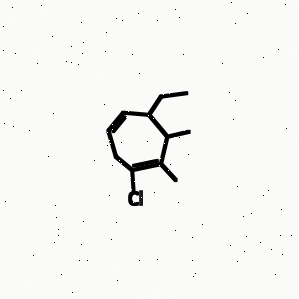 CCC1C=CCC(Cl)=C(C)C1C